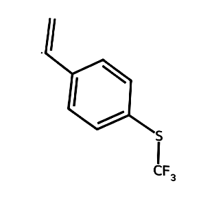 C=[C]c1ccc(SC(F)(F)F)cc1